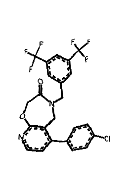 O=C1COc2nccc(-c3ccc(Cl)cc3)c2CN1Cc1cc(C(F)(F)F)cc(C(F)(F)F)c1